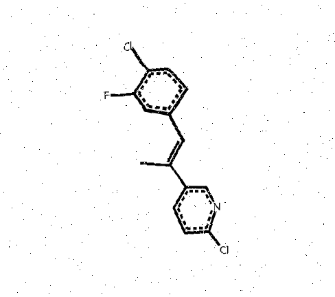 C/C(=C\c1ccc(Cl)c(F)c1)c1ccc(Cl)nc1